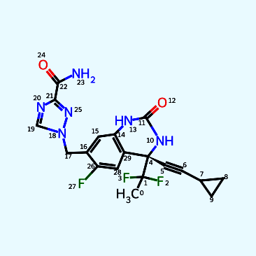 CC(F)(F)[C@@]1(C#CC2CC2)NC(=O)Nc2cc(Cn3cnc(C(N)=O)n3)c(F)cc21